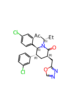 CC[C@@H](C(C)=O)N1C(=O)[C@@H](Cc2nnco2)C[C@H](c2cccc(Cl)c2)[C@H]1c1ccc(Cl)cc1